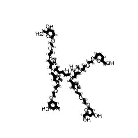 CC1CC(O)CC(OCCOCCn2cc(CN(Cc3cn(CCOCCOC4CCC(O)C(CO)O4)nn3)C(C)CCCCN(C/C(N)=C/N(N)CCOCCOC3CCCC(CO)O3)Cc3cn(CCOCCOC4CC(O)CC(CO)O4)nn3)nn2)C1